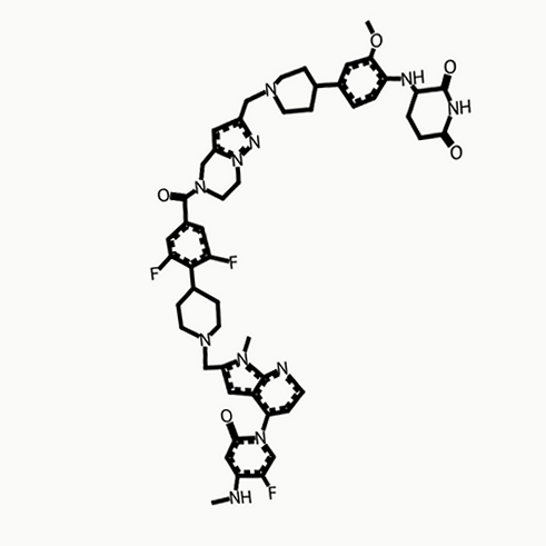 CNc1cc(=O)n(-c2ccnc3c2cc(CN2CCC(c4c(F)cc(C(=O)N5CCn6nc(CN7CCC(c8ccc(NC9CCC(=O)NC9=O)c(OC)c8)CC7)cc6C5)cc4F)CC2)n3C)cc1F